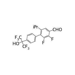 CC(C)c1cc(C=O)c(F)c(F)c1-c1ccc(C(O)(C(F)(F)F)C(F)(F)F)cc1